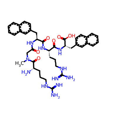 CN(CC(=O)N[C@@H](Cc1ccc2ccccc2c1)C(=O)N[C@@H](CCCNC(=N)N)C(=O)N[C@@H](Cc1ccc2ccccc2c1)C(=O)O)C(=O)[C@@H](N)CCCNC(=N)N